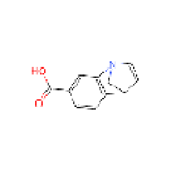 O=C(O)c1ccc2c(c1)N1C=CC2C1